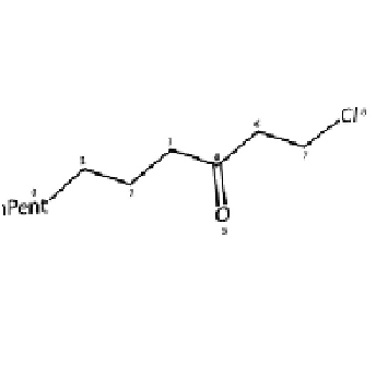 CCCCCCCCC(=O)CCCl